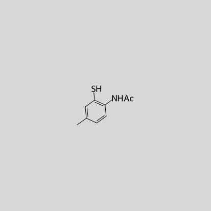 CC(=O)Nc1ccc(C)cc1S